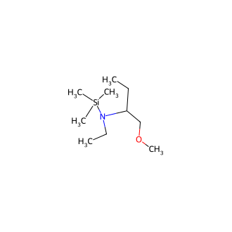 CCC(COC)N(CC)[Si](C)(C)C